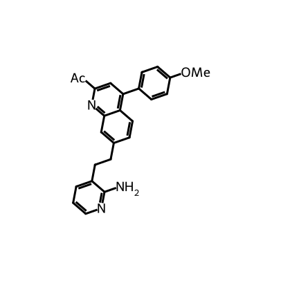 COc1ccc(-c2cc(C(C)=O)nc3cc(CCc4cccnc4N)ccc23)cc1